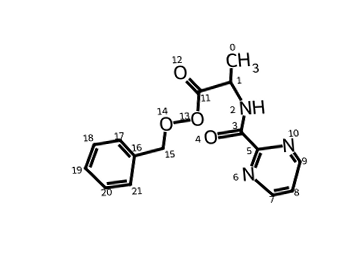 CC(NC(=O)c1ncccn1)C(=O)OOCc1ccccc1